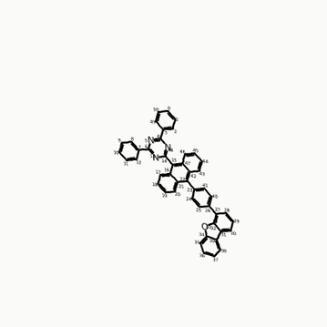 c1ccc(-c2nc(-c3ccccc3)nc(-c3c4ccccc4c(-c4ccc(-c5cccc6c5oc5ccccc56)cc4)c4ccccc34)n2)cc1